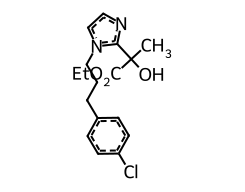 CCOC(=O)C(C)(O)c1nccn1CCCc1ccc(Cl)cc1